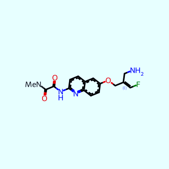 CNC(=O)C(=O)Nc1ccc2cc(OC/C(=C/F)CN)ccc2n1